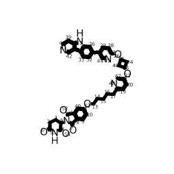 O=C1CCC(N2C(=O)c3ccc(OCCCCCc4ccc(OC5CC(Oc6ccc(-c7ccc8c(c7)[nH]c7ccncc78)cn6)C5)cn4)cc3C2=O)C(=O)N1